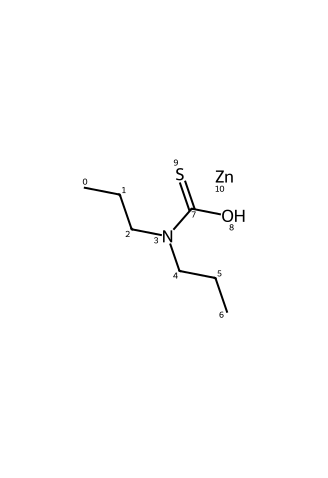 CCCN(CCC)C(O)=S.[Zn]